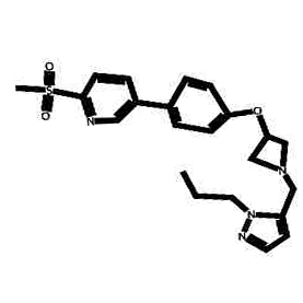 CCCn1nccc1CN1CC(Oc2ccc(-c3ccc(S(C)(=O)=O)nc3)cc2)C1